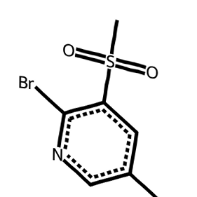 CS(=O)(=O)c1cc(Br)cnc1Br